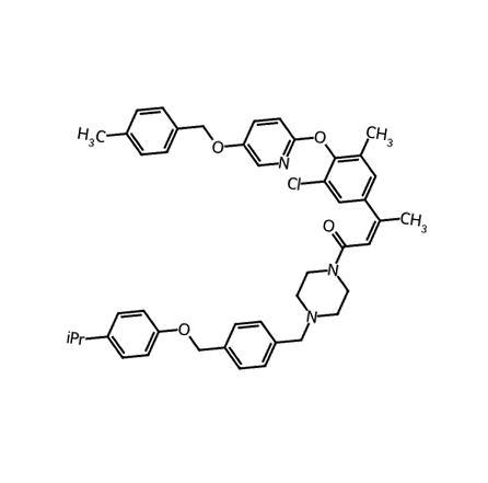 CC(=CC(=O)N1CCN(Cc2ccc(COc3ccc(C(C)C)cc3)cc2)CC1)c1cc(C)c(Oc2ccc(OCc3ccc(C)cc3)cn2)c(Cl)c1